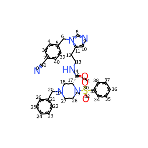 N#Cc1ccc(Cn2cncc2CCNC(=O)[C@H]2CN(Cc3ccccc3)CCN2S(=O)(=O)c2ccccc2)cc1